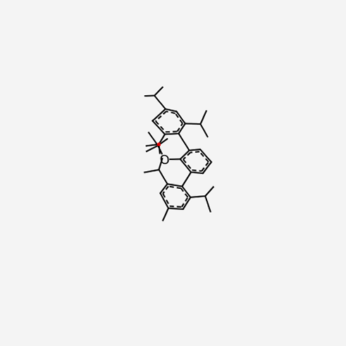 Cc1cc(C(C)C)c(-c2cccc(-c3c(C(C)C)cc(C(C)C)cc3C(C)C)c2OC(C)(C)C)c(C(C)C)c1